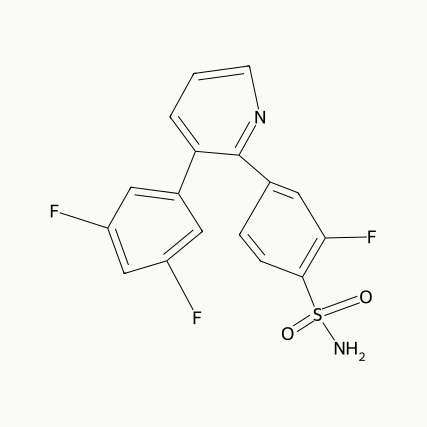 NS(=O)(=O)c1ccc(-c2ncccc2-c2cc(F)cc(F)c2)cc1F